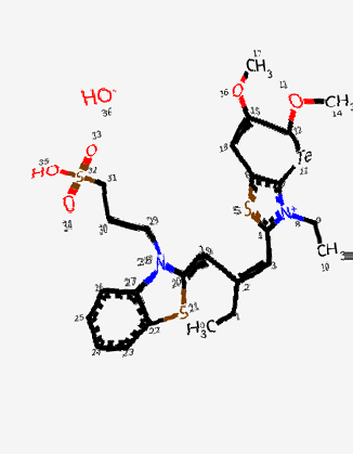 CCC(=Cc1sc2c([n+]1CC)[Te]C(OC)C(OC)=C2)C=C1Sc2ccccc2N1CCCS(=O)(=O)O.[OH-]